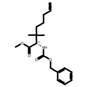 C=CCCCC(C)(C)[C@H](NC(=O)OCc1ccccc1)C(=O)OC